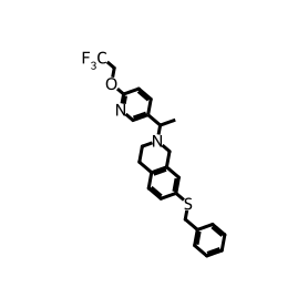 CC(c1ccc(OCC(F)(F)F)nc1)N1CCc2ccc(SCc3ccccc3)cc2C1